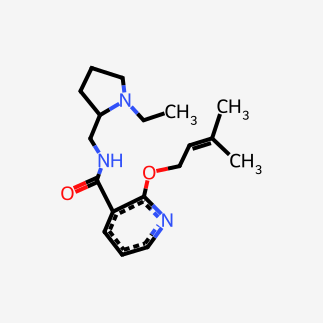 CCN1CCCC1CNC(=O)c1cccnc1OCC=C(C)C